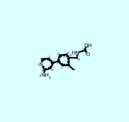 Cc1cc(-c2ccnc(N)c2)ccc1CNC(=O)O